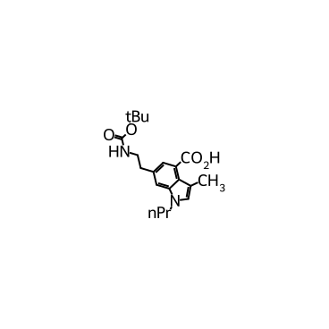 CCCn1cc(C)c2c(C(=O)O)cc(CCNC(=O)OC(C)(C)C)cc21